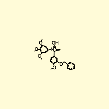 C=C1C(c2ccc(OC)c(OCc3ccccc3)c2)N(c2cc(OC)c(OC)c(OC)c2)[C@H]1O